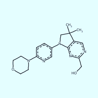 CC1(C)CN(c2ccc(N3CCOCC3)nc2)c2nc(CO)ncc21